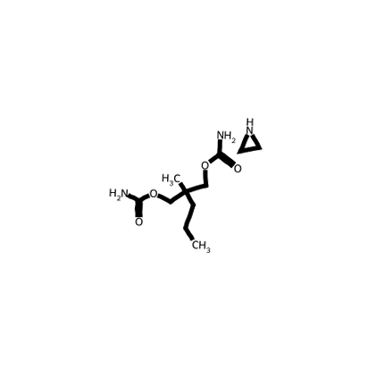 C1CN1.CCCC(C)(COC(N)=O)COC(N)=O